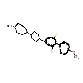 CCC[SiH]1CCC([C@H]2CC[C@H](c3cc(F)c(-c4ccc(OC(F)(F)F)cc4)c(F)c3)CC2)CC1